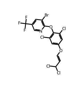 FC(F)(F)c1cnc(Oc2c(Cl)cc(OC=CC(Cl)Cl)cc2Cl)c(Br)c1